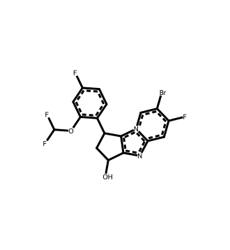 OC1CC(c2ccc(F)cc2OC(F)F)c2c1nc1cc(F)c(Br)cn21